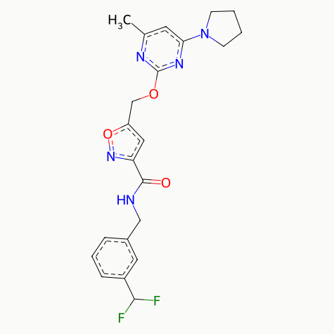 Cc1cc(N2CCCC2)nc(OCc2cc(C(=O)NCc3cccc(C(F)F)c3)no2)n1